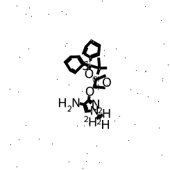 [2H]C([2H])([2H])n1cc(N)c(O[C@H]2COC[C@H]2O[Si](c2ccccc2)(c2ccccc2)C(C)(C)C)n1